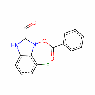 O=CC1Nc2cccc(F)c2N1OC(=O)c1ccccc1